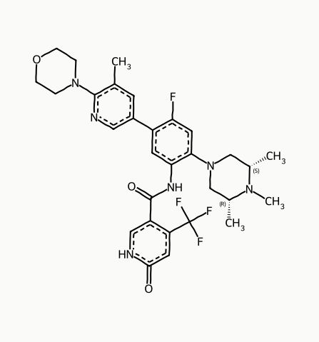 Cc1cc(-c2cc(NC(=O)c3c[nH]c(=O)cc3C(F)(F)F)c(N3C[C@@H](C)N(C)[C@@H](C)C3)cc2F)cnc1N1CCOCC1